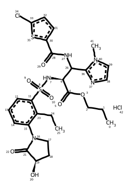 CCCOC(=O)[C@@H](NS(=O)(=O)c1cccc(N2CC[C@@H](O)C2=O)c1CC)C(NC(=O)c1ccc(Cl)s1)c1nccn1C.Cl